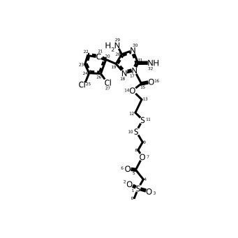 CS(=O)(=O)CC(=O)OCCSSCCOC(=O)n1nc(-c2cccc(Cl)c2Cl)c(N)nc1=N